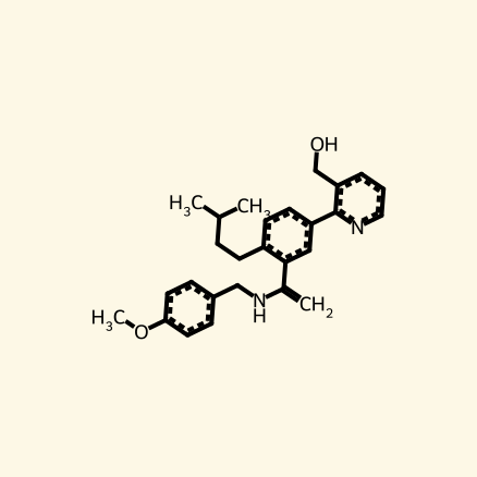 C=C(NCc1ccc(OC)cc1)c1cc(-c2ncccc2CO)ccc1CCC(C)C